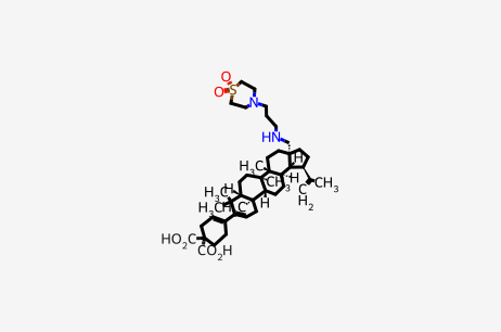 C=C(C)[C@@H]1CC[C@]2(CNCCCN3CCS(=O)(=O)CC3)CC[C@]3(C)[C@H](CC[C@@H]4[C@@]5(C)CC=C(C6=CCC(C(=O)O)(C(=O)O)CC6)C(C)(C)[C@@H]5CC[C@]43C)[C@@H]12